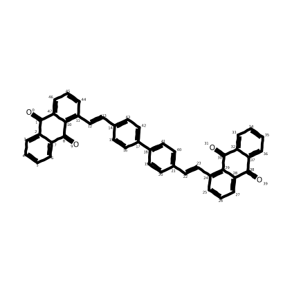 O=C1c2ccccc2C(=O)c2c(/C=C/c3ccc(-c4ccc(/C=C/c5cccc6c5C(=O)c5ccccc5C6=O)cc4)cc3)cccc21